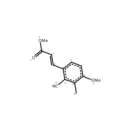 COC(=O)C=Cc1ccc(OC)c(C)c1C#N